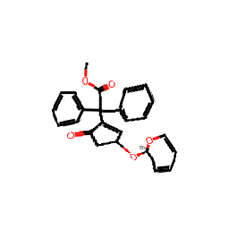 COC(=O)C(C1=CC(O[C@@H]2C=CC=CO2)CC1=O)(c1ccccc1)c1ccccc1